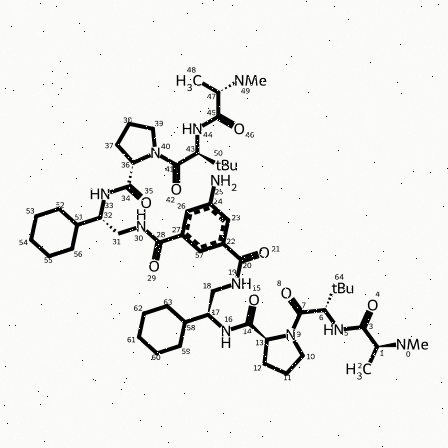 CN[C@@H](C)C(=O)N[C@H](C(=O)N1CCC[C@H]1C(=O)N[C@H](CNC(=O)c1cc(N)cc(C(=O)NC[C@@H](NC(=O)[C@@H]2CCCN2C(=O)[C@@H](NC(=O)[C@H](C)NC)C(C)(C)C)C2CCCCC2)c1)C1CCCCC1)C(C)(C)C